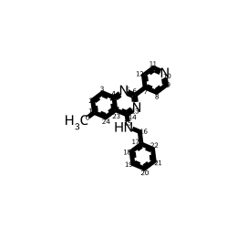 Cc1ccc2nc(-c3ccncc3)nc(NCc3ccccc3)c2c1